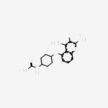 CCCC(=O)NC1CCC(Oc2cccc3nc(C)c(C(=O)O)c(N)c23)CC1